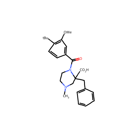 COc1cc(C(=O)N2CCN(C)CC2(Cc2ccccc2)C(=O)O)ccc1C(C)(C)C